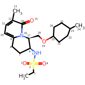 CCS(=O)(=O)N[C@H]1CCc2ccc(C)c(=O)n2[C@H]1COC1CCC(C)CC1